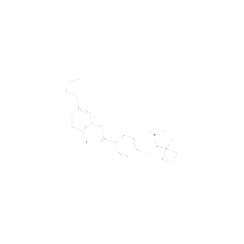 Nc1ccc(-c2cccs2)cc1NC(=O)c1ccc(CN2C(=O)CCC23COC3)cc1